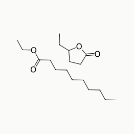 CCC1CCC(=O)O1.CCCCCCCCCC(=O)OCC